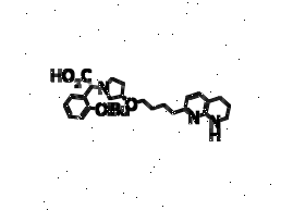 CC(C)COc1ccccc1[C@H](C(=O)O)N1CC[C@@H](OCCCCc2ccc3c(n2)NCCC3)C1